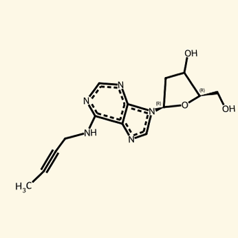 CC#CCNc1ncnc2c1ncn2[C@H]1CC(O)[C@@H](CO)O1